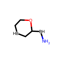 NBC1CBCCO1